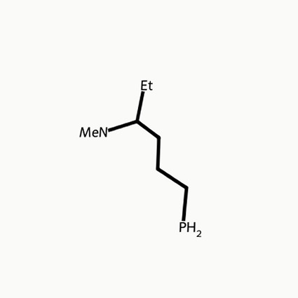 CCC(CCCP)NC